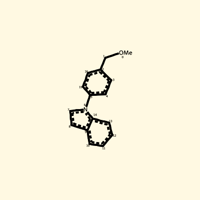 COCc1ccc(-n2ccc3ccccc32)cc1